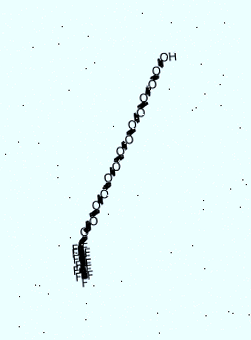 OCCOCCOCCOCCOCCOCCOCCOCCOCCOCCOCCOCCOCCOCCC(F)(F)C(F)(F)C(F)(F)C(F)(F)C(F)(F)C(F)(F)F